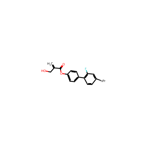 C=C(CO)C(=O)Oc1ccc(-c2ccc(CCC)cc2F)cc1